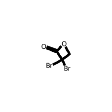 O=C1OCC1(Br)Br